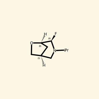 CC(C)N1C[C@H]2CO[C@H](C2)[C@H]1F